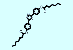 CCCC/C=C/C(=O)Oc1ccc(-c2nnc(-c3ccc(OC(=O)/C=C/CCCC)cc3)s2)cc1